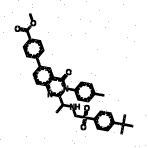 COC(=O)c1ccc(-c2ccc3nc(C(C)NCS(=O)(=O)c4ccc(C(C)(C)C)cc4)n(-c4ccc(C)cc4)c(=O)c3c2)cc1